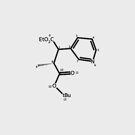 CCOC(=O)C(c1cccnc1)[C@@H](C)C(=O)OC(C)(C)C